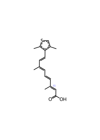 CC(C=Cc1c(C)csc1C)=CC=C/C(C)=C/C(=O)O